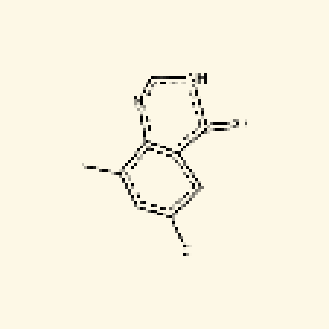 Cc1cc(Cl)cc2c(=O)[nH]cnc12